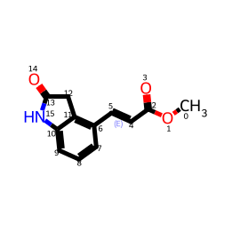 COC(=O)/C=C/c1cccc2c1CC(=O)N2